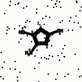 Nc1nc(O)cn1O